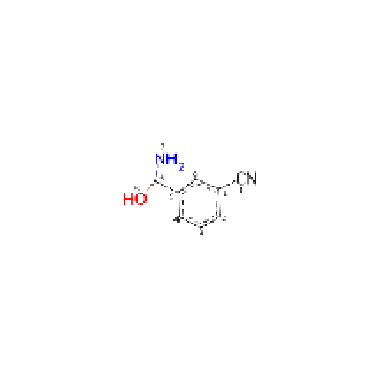 N#Cc1cc[c]c(C(N)O)c1